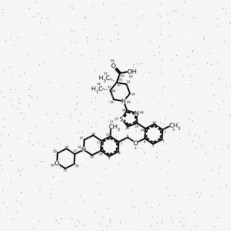 Cc1ccc(OCc2ccc3c(c2C)CCN(C2CCOCC2)C3)c(-c2csc(N3CC[C@](C)(C(=O)O)[C@@H](C)C3)n2)c1